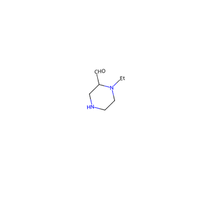 CCN1CCNCC1C=O